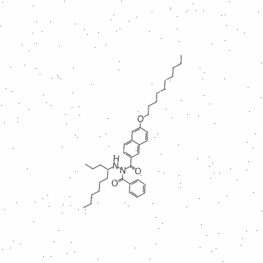 CCCCCCCCCCOc1ccc2cc(C(=O)N(NC(CCC)CCCCCC)C(=O)c3ccccc3)ccc2c1